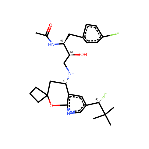 CC(=O)N[C@@H](Cc1ccc(F)cc1)[C@@H](O)CN[C@H]1CC2(CCC2)Oc2ncc([C@H](F)C(C)(C)C)cc21